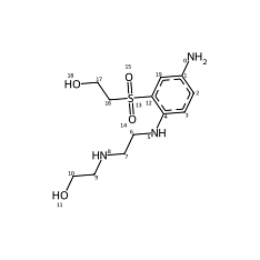 Nc1ccc(NCCNCCO)c(S(=O)(=O)CCO)c1